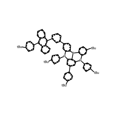 CC(C)(C)c1ccc(-c2cc3c4c(c2)N(c2ccc(C(C)(C)C)cc2)c2cc(C(C)(C)C)ccc2B4c2ccc(-c4cccc(-c5c6ccccc6c(-c6ccc(C(C)(C)C)cc6)c6ccccc56)c4)cc2N3c2ccc(C(C)(C)C)cc2)cc1